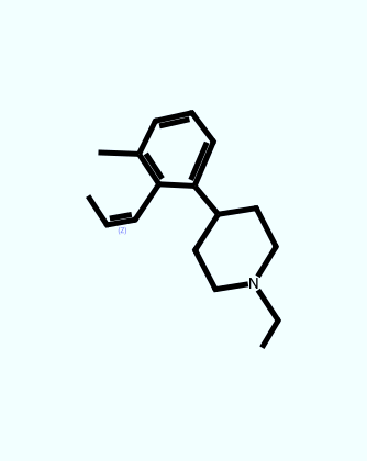 C/C=C\c1c(C)cccc1C1CCN(CC)CC1